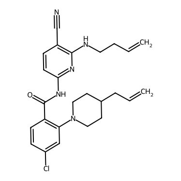 C=CCCNc1nc(NC(=O)c2ccc(Cl)cc2N2CCC(CC=C)CC2)ccc1C#N